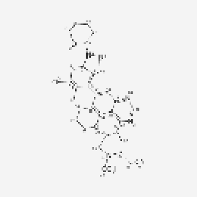 Cc1c(Cl)cc2c(cnn2C2CCCCO2)c1-c1cc2ncnc(N3CCN(C(=O)O)[C@@H](CC#N)C3)c2c2c1CCCO2